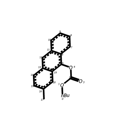 CCCCOC(=O)Oc1c2ccccc2cc2ccc(C)cc12